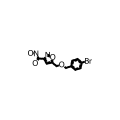 O=NC(=O)c1cc(COCc2ccc(Br)cc2)on1